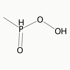 C[PH](=O)OO